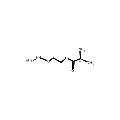 CCCCCCNOCCOC(=O)[C@H](C)N